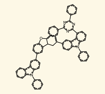 C1=C(c2ccc3c(c2)c2c(-c4nc(-c5ccccc5)nc(-c5ccccc5)n4)cccc2n3-c2ccccc2)CC2C(=C1)Oc1ccc(-c3ccc4c(c3)c3ccccc3n4-c3ccccc3)cc12